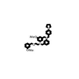 COc1cccc(COCCOCc2cccc(N(Cc3ccc(N4CCCC4)cc3)Cc3cccc(OC)c3)c2)c1